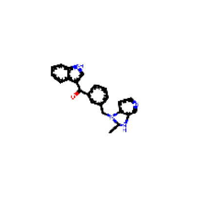 CC1Nc2cnccc2N1Cc1cccc(C(=O)c2c[nH]c3ccccc23)c1